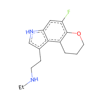 CCNCCc1c[nH]c2cc(F)c3c(c12)CCCO3